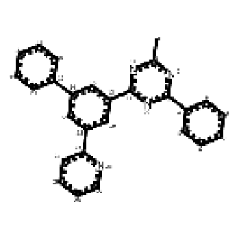 Cc1nc(-c2ccccc2)nc(-c2cc(-c3ccccc3)cc(-c3ccccn3)c2)n1